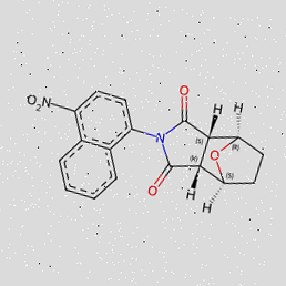 O=C1[C@@H]2[C@H](C(=O)N1c1ccc([N+](=O)[O-])c3ccccc13)[C@H]1CC[C@@H]2O1